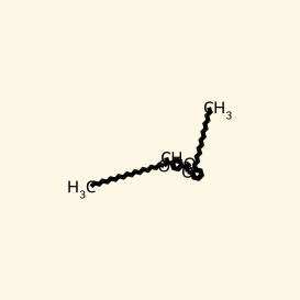 CCCCCCCCCCCCCCCCCCOC(C)c1ccc(C(=O)Oc2ccccc2CCCCCCCCCCCCCCC)cc1